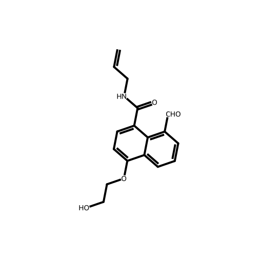 C=CCNC(=O)c1ccc(OCCO)c2cccc(C=O)c12